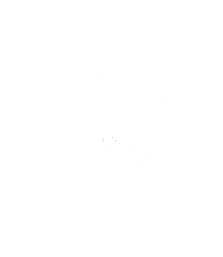 COc1ccc(F)cc1C(C)(C)CC(N)(Cc1ccc(Cl)c(Cl)c1)C(F)(F)F